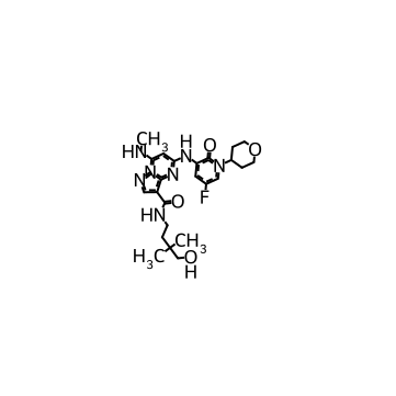 CNc1cc(Nc2cc(F)cn(C3CCOCC3)c2=O)nc2c(C(=O)NCCC(C)(C)CO)cnn12